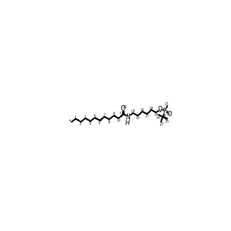 CCCCCCCCCCCC(=O)NCCCCCCOP(C)(=O)C(C)(C)C